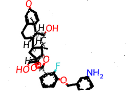 C[C@]12C=CC(=O)C=C1CC[C@@H]1[C@@H]2[C@@H](O)C[C@@]2(C)[C@H]1C[C@H]1O[C@@H](c3cccc(OCc4cccc(N)c4)c3F)O[C@]12C(=O)CO